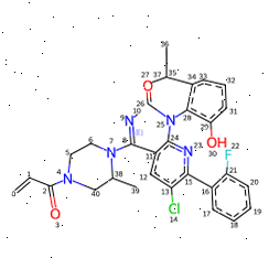 C=CC(=O)N1CCN(/C(=N/C)c2cc(Cl)c(-c3ccccc3F)nc2N(C=O)c2c(O)cccc2C(C)C)C(C)C1